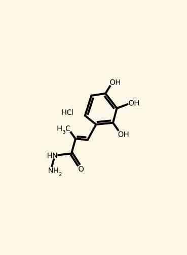 C/C(=C\c1ccc(O)c(O)c1O)C(=O)NN.Cl